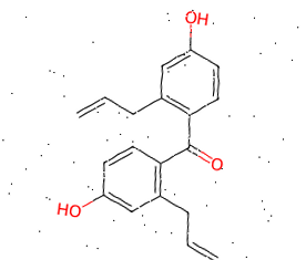 C=CCc1cc(O)ccc1C(=O)c1ccc(O)cc1CC=C